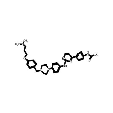 CC(=O)Nc1ccc(-c2ccnc(Nc3ccc(N4CCN(Cc5ccc(OCCCN(C)C)cc5)CC4)cc3)n2)cc1